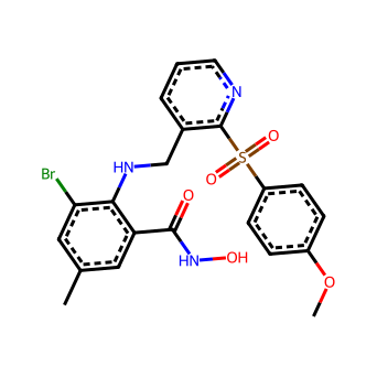 COc1ccc(S(=O)(=O)c2ncccc2CNc2c(Br)cc(C)cc2C(=O)NO)cc1